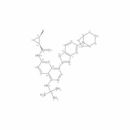 BC(B)(B)Nc1ncc(-c2nc3cc(N4C5CCC4COC5)ccc3o2)c2cc(NC(=O)[C@H]3C[C@H]3C)ncc12